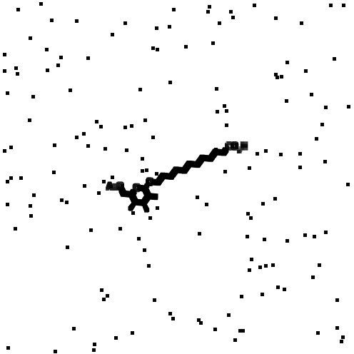 CC(=O)OCC1O[C@@H](OCCCCCCCCCCCC(=O)O)C(C)[C@@H](C)[C@H]1C